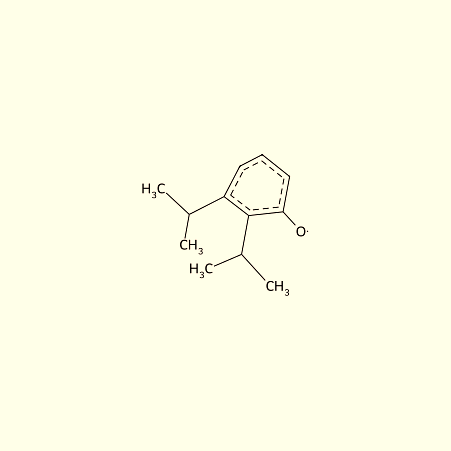 CC(C)c1cccc([O])c1C(C)C